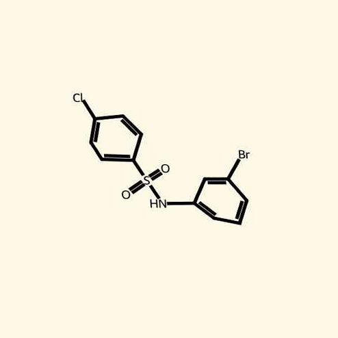 O=S(=O)(Nc1cccc(Br)c1)c1ccc(Cl)cc1